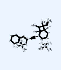 C=CC1(O)C(CCCC)[C@H]2[C@H](C#C[C@H](CC3CCCCC3)O[Si](C)(C)C(C)(C)C)[C@@H](O[Si](C)(C)C(C)(C)C)CC[C@H]21